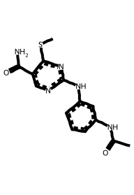 CSc1nc(Nc2cccc(NC(C)=O)c2)ncc1C(N)=O